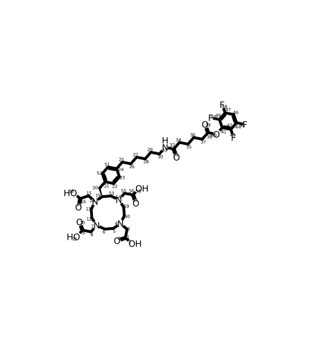 O=C(O)CN1CCN(CC(=O)O)CCN(CC(=O)O)[C@@H](Cc2ccc(CCCCCCNC(=O)CCCCC(=O)Oc3c(F)c(F)cc(F)c3F)cc2)CN(CC(=O)O)CC1